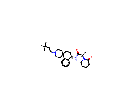 C[C@H](C(=O)N[C@@H]1CCC2(CCN(CCC(C)(C)C)CC2)c2ccccc21)N1CCCCC1=O